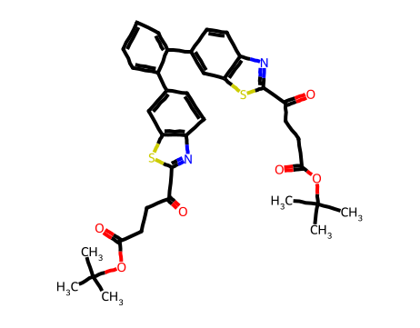 CC(C)(C)OC(=O)CCC(=O)c1nc2ccc(-c3ccccc3-c3ccc4nc(C(=O)CCC(=O)OC(C)(C)C)sc4c3)cc2s1